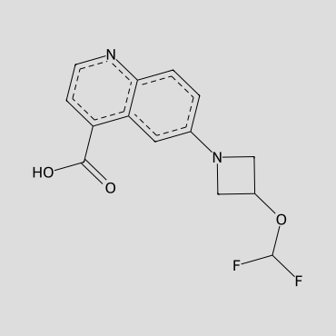 O=C(O)c1ccnc2ccc(N3CC(OC(F)F)C3)cc12